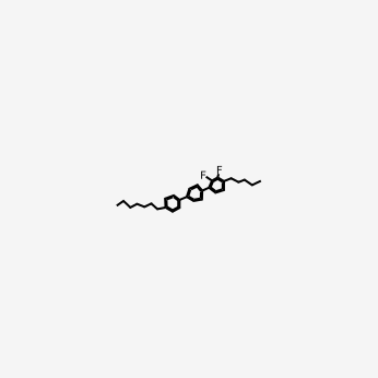 CCCCCCCc1ccc(-c2ccc(-c3ccc(CCCCC)c(F)c3F)cc2)cc1